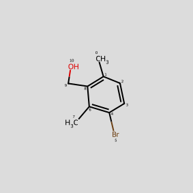 Cc1ccc(Br)c(C)c1CO